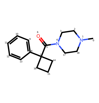 CN1CCN(C(=O)C2(c3ccccc3)CCC2)CC1